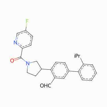 CC(C)c1ccccc1-c1ccc(C2CCN(C(=O)c3ccc(F)cn3)C2)c(C=O)c1